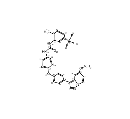 COc1ccn2ncc(-c3ccc(Oc4ncc(NC(=O)Nc5cc(C(F)(F)F)ccc5C)cn4)cc3)c2n1